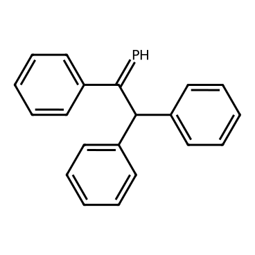 P=C(c1ccccc1)C(c1ccccc1)c1ccccc1